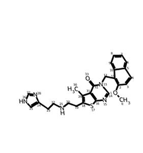 COc1ccc2ccccc2c1Cn1cnc2sc(CCNCCc3c[nH]cn3)c(C)c2c1=O